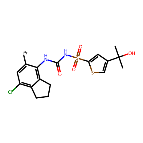 CC(C)c1cc(Cl)c2c(c1NC(=O)NS(=O)(=O)c1cc(C(C)(C)O)cs1)CCC2